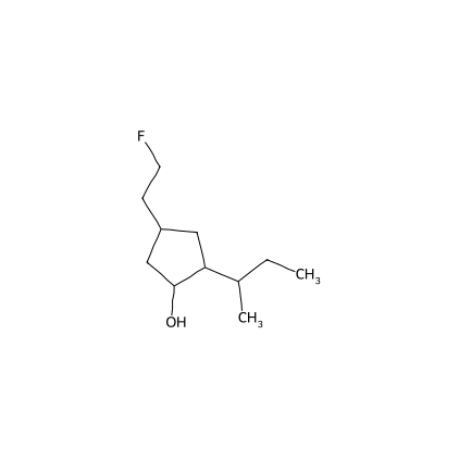 CCC(C)C1CC(CCF)CC1O